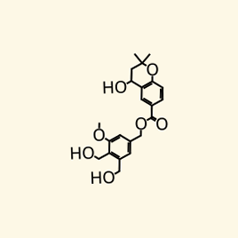 COc1cc(COC(=O)c2ccc3c(c2)C(O)CC(C)(C)O3)cc(CO)c1CO